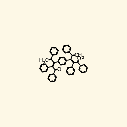 C=C(C(=C(C(=O)c1ccccc1)c1ccccc1)c1ccc(C(C(=C)c2ccccc2)=C(C(=O)c2ccccc2)c2ccccc2)cc1)c1ccccc1